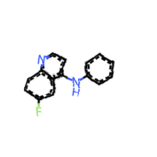 Fc1ccc2nccc(Nc3ccccc3)c2c1